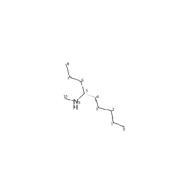 CCCCC[C@@H](CCC)NC